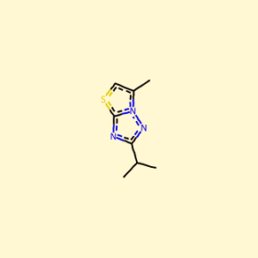 Cc1csc2nc(C(C)C)nn12